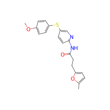 COc1ccc(Sc2ccc(NC(=O)CCc3ccc(C)o3)nc2)cc1